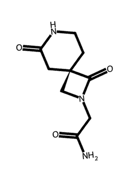 NC(=O)CN1C[C@@]2(CCNC(=O)C2)C1=O